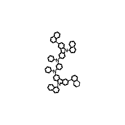 C1=Cc2c(cccc2-c2ccc3c(c2)c2cc(N(c4ccccc4)c4cccc(N(c5ccccc5)c5ccc6c(c5)c5cc(-c7cccc8ccccc78)ccc5n6-c5cccc6ccccc56)c4)ccc2n3-c2cccc3ccccc23)CC1